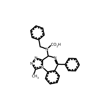 Cc1nnc2n1-c1ccccc1C(c1ccccc1)=NC2N(Cc1ccccc1)C(=O)O